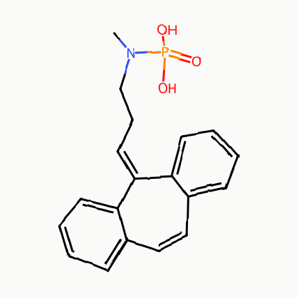 CN(CCC=C1c2ccccc2C=Cc2ccccc21)P(=O)(O)O